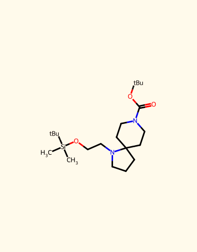 CC(C)(C)OC(=O)N1CCC2(CCCN2CCO[Si](C)(C)C(C)(C)C)CC1